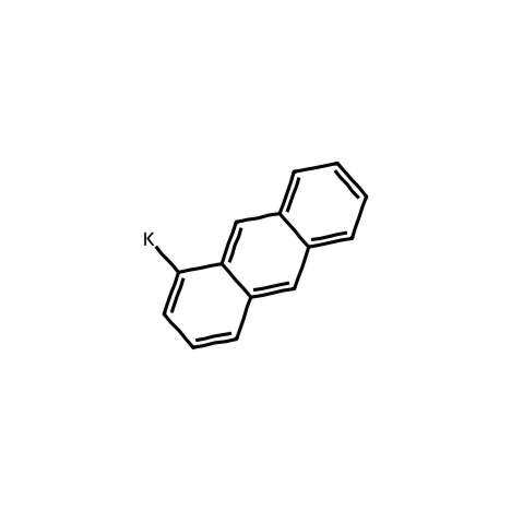 [K][c]1cccc2cc3ccccc3cc12